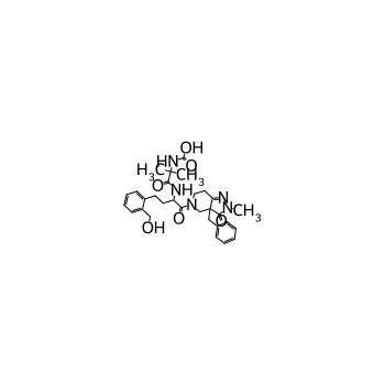 CN1N=C2CCN(C(=O)C(CCc3ccccc3CO)NC(=O)C(C)(C)NC(=O)O)CC2(Cc2ccccc2)C1=O